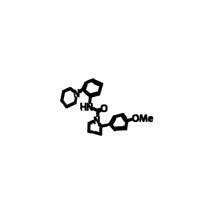 COc1ccc(C2CCCN2C(=O)Nc2ccccc2N2CCCCC2)cc1